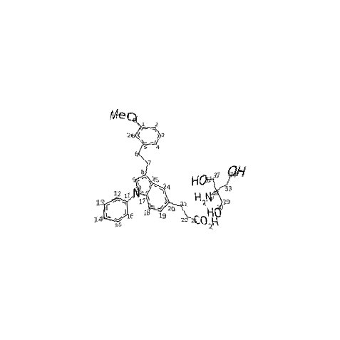 COc1cccc(CCc2cn(-c3ccccc3)c3ccc(CCC(=O)O)cc23)c1.NC(CO)(CO)CO